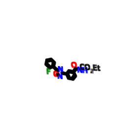 CCOC(=O)NC(=O)c1cccc(-c2noc(-c3ccccc3F)n2)c1